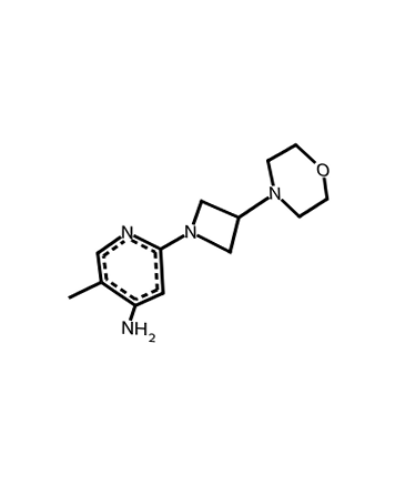 Cc1cnc(N2CC(N3CCOCC3)C2)cc1N